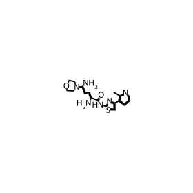 Cc1ncccc1-c1csc(NC(=O)/C(N)=C/C=C(\N)N2CCOCC2)n1